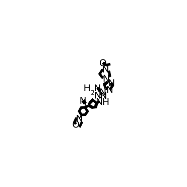 CC(=O)N1CCCN(c2cc(-n3nc(Nc4ccc([C@]5(C#N)CC[C@@H](N6CCOCC6)CC5)cc4)nc3N)ncn2)CC1